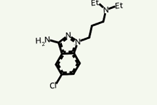 CCN(CC)CCCn1nc(N)c2cc(Cl)ccc21